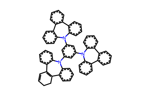 C1=CC2=C(CC1)c1ccccc1N(c1cc(N3c4ccccc4-c4ccccc4-c4ccccc43)cc(N3c4ccccc4-c4ccccc4-c4ccccc43)c1)c1ccccc12